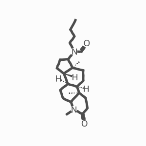 CCCCN(C=O)C1CC[C@H]2[C@@H]3CCC4N(C)C(=O)CC[C@]4(C)[C@@H]3CC[C@]12C